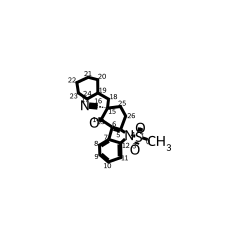 CS(=O)(=O)n1c2c(c3ccccc31)C(=O)[C@@](C#N)(CC1CCCCC1)CC2